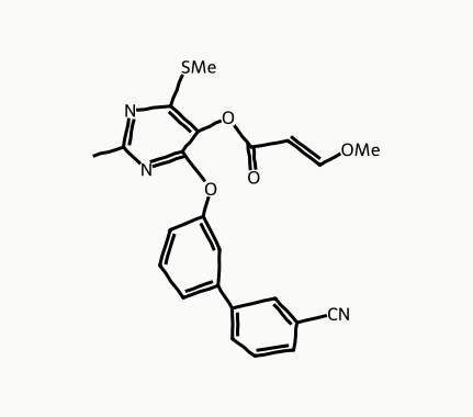 COC=CC(=O)Oc1c(Oc2cccc(-c3cccc(C#N)c3)c2)nc(C)nc1SC